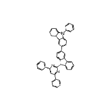 c1ccc(-c2cc(-c3ccccc3)nc(C3c4ccccc4-c4cc(-c5ccc6c(c5)c5ccccc5n6-c5ccccc5)ccc43)n2)cc1